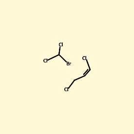 Cl/C=C\CCl.ClC(Cl)Br